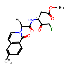 CCC(C(=O)N[C@@H](CC(=O)OC(C)(C)C)C(=O)CF)n1ccc2cc(C(F)(F)F)ccc2c1=O